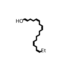 CC/C=C\C/C=C\CCCC/C=C\C/C=C\CCC=CO